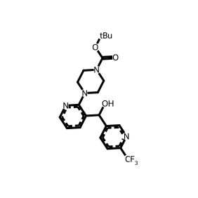 CC(C)(C)OC(=O)N1CCN(c2ncccc2C(O)c2ccc(C(F)(F)F)nc2)CC1